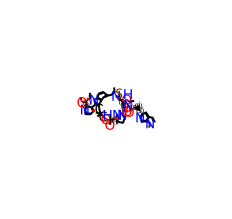 CCO[C@@H]1C2=NC(c3ccc4c(c3)c(c(-c3cccnc3[C@H](C)OC)n4CC)CC(C)(C)COC(=O)[C@@H]3CCCN(N3)C(=O)[C@H]1NC(=O)[C@H]1[C@H](C)[C@@H]1c1cc3ccn(C)c3cn1)C(C)S2